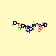 O=S(=O)=CN(CCc1ccccn1)Cc1nc(-c2cc3c(Nc4ccc(OCc5cccc(F)c5)c(Cl)c4)ncnc3cc2F)cs1